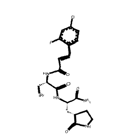 CC(C)C[C@H](NC(=O)/C=C/c1ccc(Cl)cc1F)C(=O)N[C@@H](C[C@@H]1CCNC1=O)C(N)=O